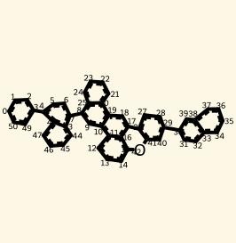 c1ccc(-c2ccc(-c3cc4c5cccc6c5c(cc4c4ccccc34)-c3ccc(-c4ccc5ccccc5c4)cc3O6)c3ccccc23)cc1